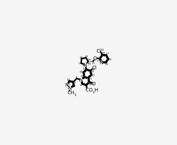 Cn1cc(Cn2cc(C(=O)O)c(=O)c3cc(Cl)c(N4CCC[C@@H]4COc4ncccc4Cl)cc32)cn1